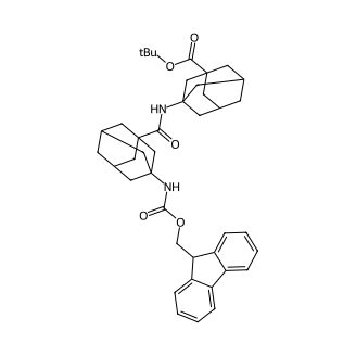 CC(C)(C)OC(=O)C12CC3CC(CC(NC(=O)C45CC6CC(CC(NC(=O)OCC7c8ccccc8-c8ccccc87)(C6)C4)C5)(C3)C1)C2